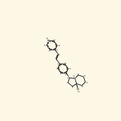 C(=Cc1ccc([C@@H]2CC[C@H]3CCCCN32)cc1)c1ccncc1